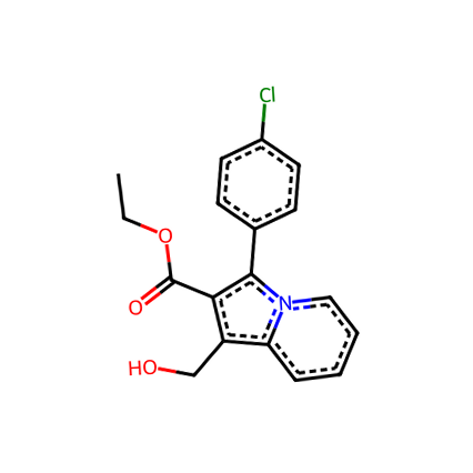 CCOC(=O)c1c(CO)c2ccccn2c1-c1ccc(Cl)cc1